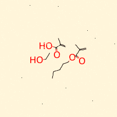 C=C(C)C(=O)O.C=C(C)C(=O)OCCCCC.CCO